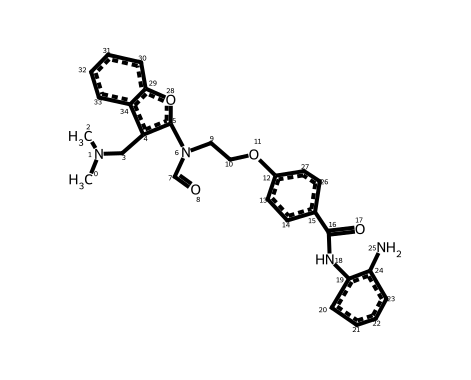 CN(C)Cc1c(N(C=O)CCOc2ccc(C(=O)Nc3ccccc3N)cc2)oc2ccccc12